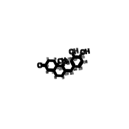 CC12CCC(=O)C=C1CC/C(=C/c1ccc(O)c(O)c1)C2=O